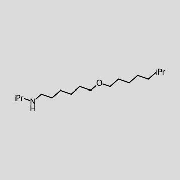 CC(C)CCCCCOCCCCCCNC(C)C